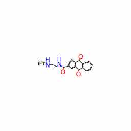 CC(C)NCCNC(=O)c1ccc2c(c1)C(=O)c1ccccc1C2=O